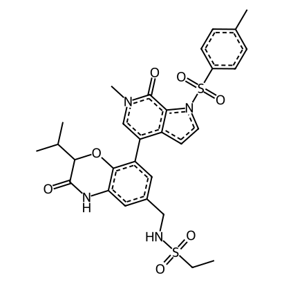 CCS(=O)(=O)NCc1cc2c(c(-c3cn(C)c(=O)c4c3ccn4S(=O)(=O)c3ccc(C)cc3)c1)OC(C(C)C)C(=O)N2